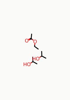 CC(C)O.CC(C)O.CCOC(C)=O